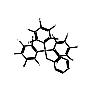 Fc1c(F)c(F)c([B-](Cc2ccccc2)(c2c(F)c(F)c(F)c(F)c2F)c2c(F)c(F)c(F)c(F)c2F)c(F)c1F